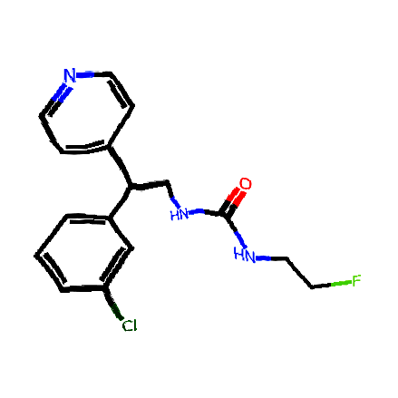 O=C(NCCF)NCC(c1ccncc1)c1cccc(Cl)c1